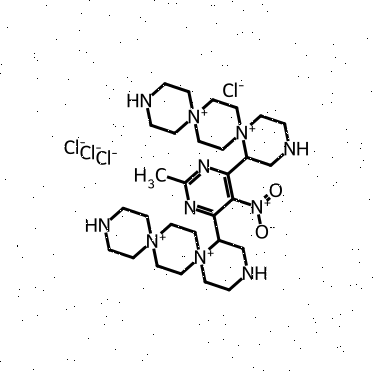 Cc1nc(C2CNCC[N+]23CC[N+]2(CCNCC2)CC3)c([N+](=O)[O-])c(C2CNCC[N+]23CC[N+]2(CCNCC2)CC3)n1.[Cl-].[Cl-].[Cl-].[Cl-]